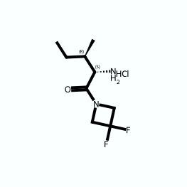 CC[C@@H](C)[C@H](N)C(=O)N1CC(F)(F)C1.Cl